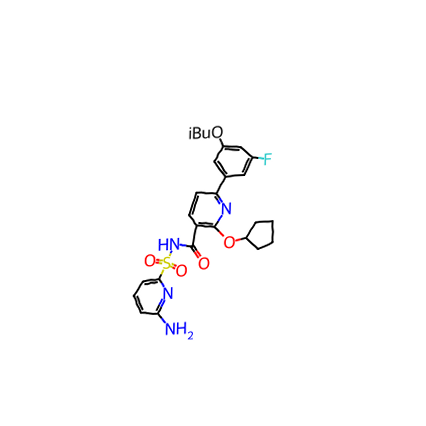 CC(C)COc1cc(F)cc(-c2ccc(C(=O)NS(=O)(=O)c3cccc(N)n3)c(OC3CCCC3)n2)c1